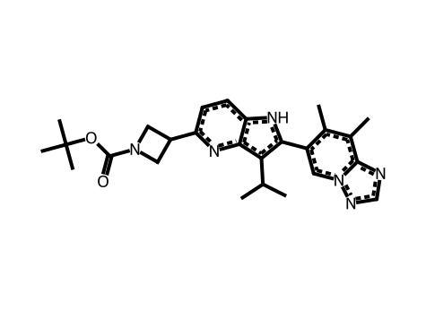 Cc1c(-c2[nH]c3ccc(C4CN(C(=O)OC(C)(C)C)C4)nc3c2C(C)C)cn2ncnc2c1C